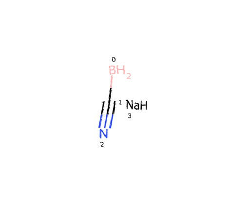 BC#N.[NaH]